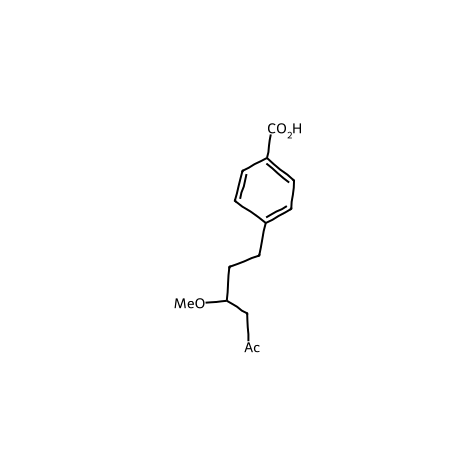 COC(CCc1ccc(C(=O)O)cc1)CC(C)=O